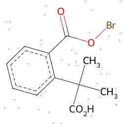 CC(C)(C(=O)O)c1ccccc1C(=O)OBr